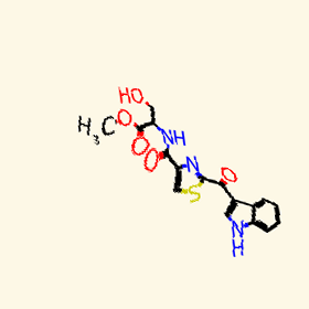 COC(=O)C(CO)NC(=O)c1csc(C(=O)c2c[nH]c3ccccc23)n1